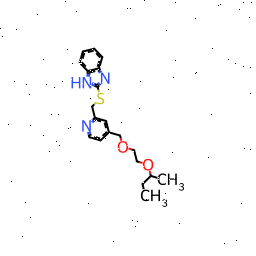 CCC(C)OCCOCc1ccnc(CSc2nc3ccccc3[nH]2)c1